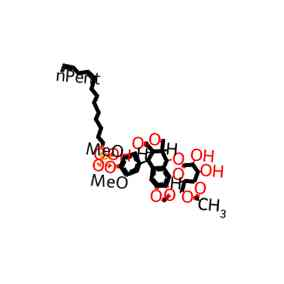 CCCCC/C=C\C/C=C\CCCCCCCCOP(=O)(O)Oc1c(OC)cc([C@@H]2c3cc4c(cc3[C@@H](O[C@@H]3O[C@@H]5CO[C@@H](C)OC5[C@H](O)[C@H]3O)[C@H]3COC(=O)[C@H]23)OCO4)cc1OC